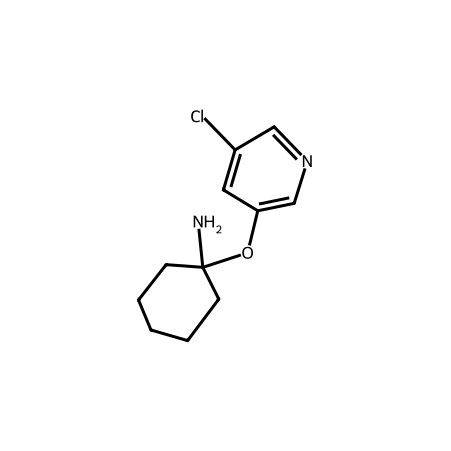 NC1(Oc2cncc(Cl)c2)CCCCC1